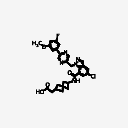 COc1cc(F)cc(-c2cnc(Cn3ncc4cc(Cl)cc(C(=O)NC5CC6(CC(CC(=O)O)C6)C5)c43)cn2)c1